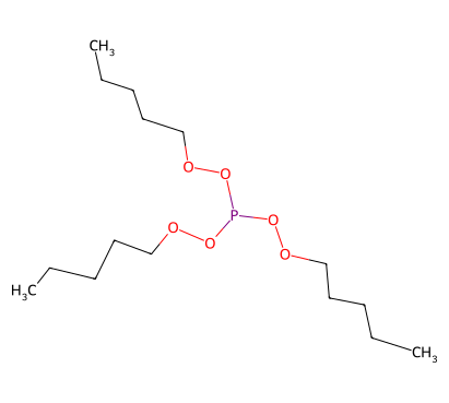 CCCCCOOP(OOCCCCC)OOCCCCC